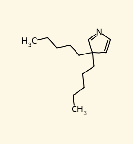 CCCCCC1(CCCCC)C=CN=C1